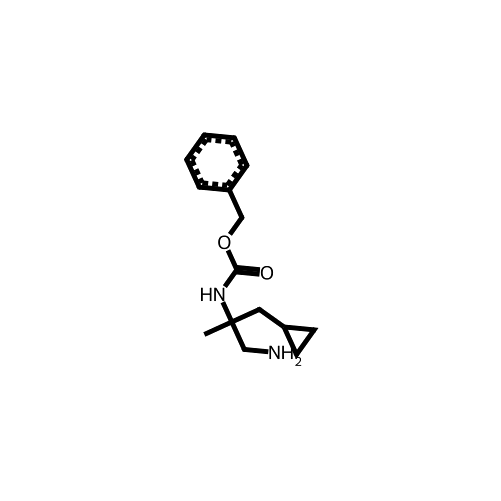 CC(CN)(CC1CC1)NC(=O)OCc1ccccc1